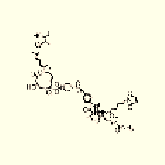 CC[C@H](O)[C@@H](C)[C@@H]1O[C@H]1CC(C)/C=C/C=C(\C)[C@H]1OC(=O)C[C@H](O)CC[C@@](C)(OC)[C@@H](OC(=O)N2CCN(C(=O)OCc3ccc(NC(=O)C(NC(=O)C(CCCNC(N)=O)NC(=O)CCCCCN4C(=O)C=CC4=O)C(C)C)cc3)CC2)/C=C/[C@@H]1C